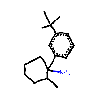 CC1CCCCC1(N)c1cccc(C(C)(C)C)c1